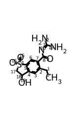 CCc1cc2c(cc1C(=O)N=C(N)N)S(=O)(=O)CC2O